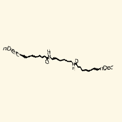 CCCCCCCCCCCCCCCCCC(=O)NCCCCCCNC(=O)CCCCCCCCCCCCCCCCC